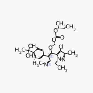 CCC(C)OC(=O)OCO/C(=C(/C=N\C)c1ccc(C(C)(C)C)cc1)c1c(Cl)c(C)nn1CC